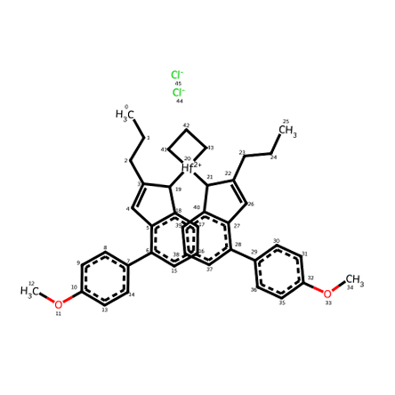 CCCC1=Cc2c(-c3ccc(OC)cc3)cccc2[CH]1[Hf+2]1([CH]2C(CCC)=Cc3c(-c4ccc(OC)cc4)cccc32)[CH2]C[CH2]1.[Cl-].[Cl-]